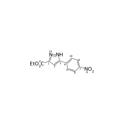 CCOC(=O)c1cc(-c2ccc([N+](=O)[O-])cc2)[nH]n1